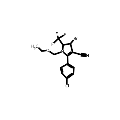 CCOCN1C(c2ccc(Cl)cc2)=C(C#N)C(Br)C1C(F)(F)F